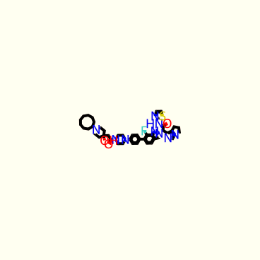 O=C(Nc1nccs1)C(c1ncn2c1CCC2)n1cc2ccc(-c3ccc(N4CCN(C(=O)CC5(O)CCN(C6CCCCCCCC6)CC5)CC4)cc3)c(F)c2n1